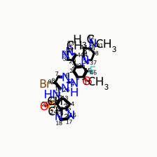 COc1c(Nc2ncc(Br)c(Nc3ccc4nccnc4c3P(C)(C)=O)n2)cc(-c2cnn(C)c2)c(N2CCC(N(C)C)CC2)c1F